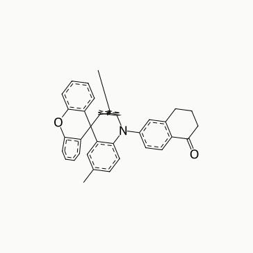 Cc1ccc2c(c1)C1(c3ccccc3Oc3ccccc31)c1cc(C)ccc1N2c1ccc2c(c1)CCCC2=O